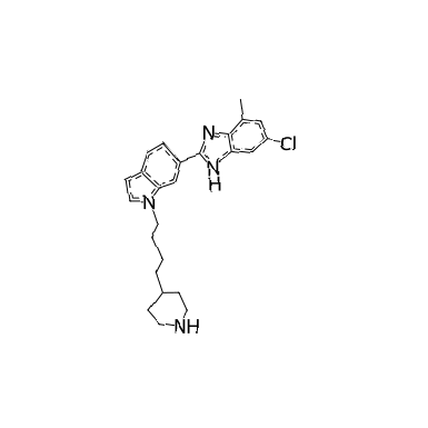 Cc1cc(Cl)cc2[nH]c(-c3ccc4ccn(CCCCC5CCNCC5)c4c3)nc12